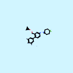 COc1cc(-c2ccc(NC3(C(=O)O)CCC(F)(F)CC3)cc2COC2CC2)cc(OC)c1C